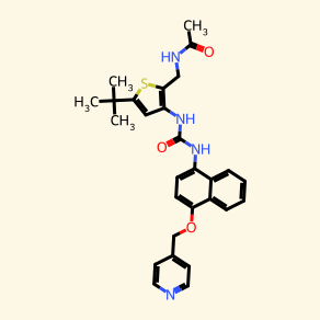 CC(=O)NCc1sc(C(C)(C)C)cc1NC(=O)Nc1ccc(OCc2ccncc2)c2ccccc12